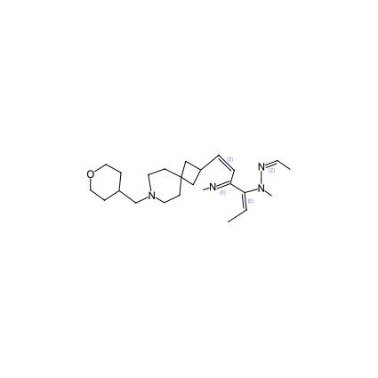 C/C=N\N(C)C(=C/C)/C(/C=C\C1CC2(CCN(CC3CCOCC3)CC2)C1)=N/C